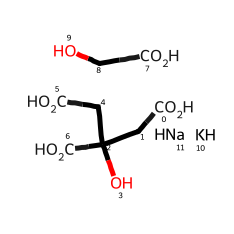 O=C(O)CC(O)(CC(=O)O)C(=O)O.O=C(O)CO.[KH].[NaH]